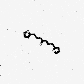 O=C(C=CCc1ccco1)C=CCc1ccco1